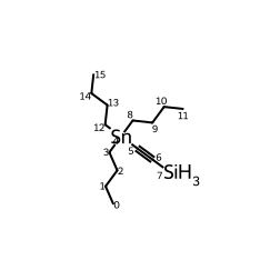 CCC[CH2][Sn]([C]#C[SiH3])([CH2]CCC)[CH2]CCC